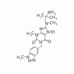 CCn1c(N(C)CC(C)(C)N)nc2c1c(=O)n(Cc1ccc3c(c1)nnn3C)c(=O)n2C